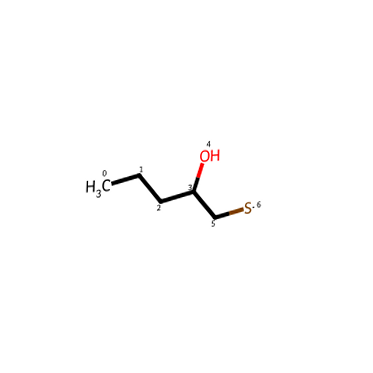 CCCC(O)C[S]